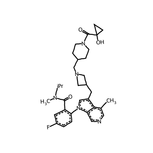 Cc1cncc2c1c(CC1CN(CC3CCN(C(=O)C4(O)CC4)CC3)C1)cn2-c1ccc(F)cc1C(=O)N(C)C(C)C